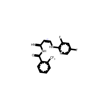 N=C(/C=C\Nc1ncc(F)cc1F)NC(=O)c1ccccc1C(F)(F)F